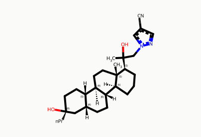 CCC[C@@]1(O)CC[C@H]2[C@H](CC[C@@H]3[C@@H]2CC[C@]2(C)[C@@H](C(C)(O)Cn4cc(C#N)cn4)CCC[C@@H]32)C1